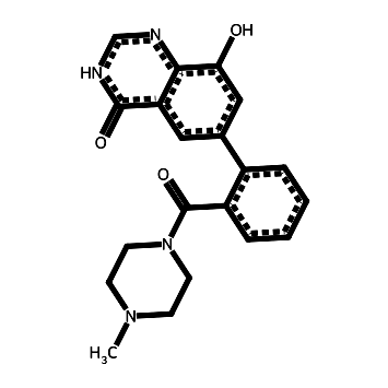 CN1CCN(C(=O)c2ccccc2-c2cc(O)c3nc[nH]c(=O)c3c2)CC1